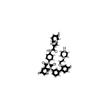 O=C(NC1CCC(n2c(=O)c3cc(F)cnc3n(-c3cccc(-c4ccc(F)cc4OCCN4CCNCC4)c3)c2=O)CC1)c1cn2cc(F)ccc2n1